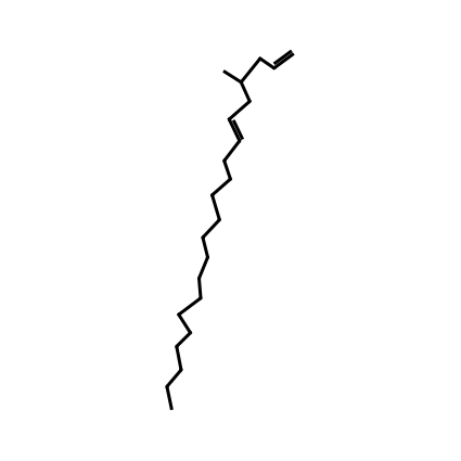 C=CCC(C)CC=CCCCCCCCCCCCCCC